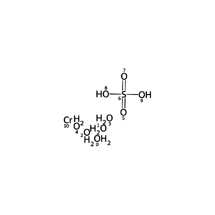 O.O.O.O.O.O=S(=O)(O)O.[Cr]